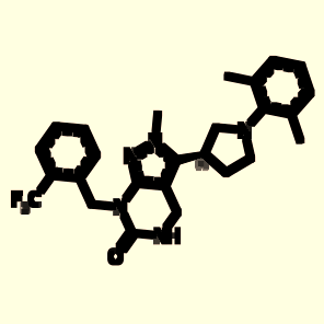 Cc1cccc(C)c1N1CC[C@@H](c2c3c(nn2C)N(Cc2ccccc2C(F)(F)F)C(=O)NC3)C1